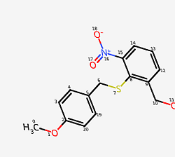 COc1ccc(CSc2c(CO)cccc2[N+](=O)[O-])cc1